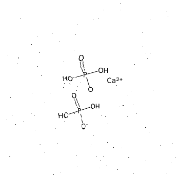 O=P([O-])(O)O.O=P([O-])(O)O.[Ca+2]